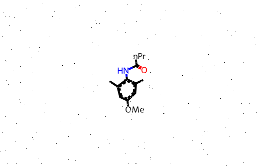 CCCC(=O)Nc1c(C)cc(OC)cc1C